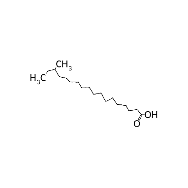 CCC(C)CCCCCCCCCCCCCCC(=O)O